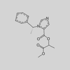 COC(=O)C(C)OC(=O)c1cncn1[C@H](C)c1ccccc1